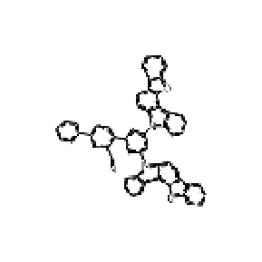 N#Cc1cc(-c2ccccc2)ccc1-c1cc(-n2c3ccccc3c3c4oc5ccccc5c4ccc32)cc(-n2c3ccccc3c3c4oc5ccccc5c4ccc32)c1